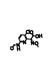 CO/N=C(\C(=O)O)c1nc(NC=O)ccc1Cl